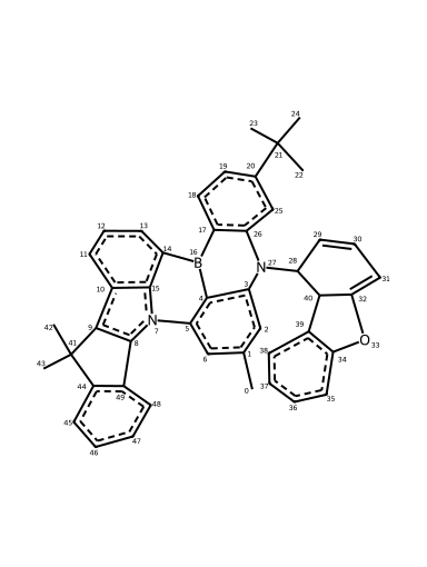 Cc1cc2c3c(c1)-n1c4c(c5cccc(c51)B3c1ccc(C(C)(C)C)cc1N2C1C=CC=C2Oc3ccccc3C21)C(C)(C)c1ccccc1-4